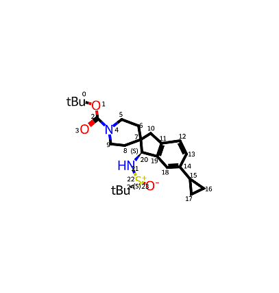 CC(C)(C)OC(=O)N1CCC2(CC1)Cc1ccc(C3CC3)cc1[C@H]2N[S@+]([O-])C(C)(C)C